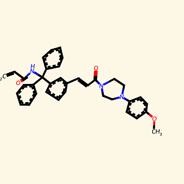 C=CC(=O)NC(c1ccccc1)(c1ccccc1)c1cccc(/C=C/C(=O)N2CCN(c3ccc(OC)cc3)CC2)c1